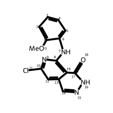 COc1ccccc1Nc1nc(Cl)cc2cn[nH]c(=O)c12